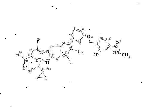 CNC(=O)c1cc(Cl)c(COc2cccc(-c3cc(F)c(Cc4nc5c(F)cc(C(=O)O)cc5n4CC4(CF)CC4)c(F)c3F)n2)cn1